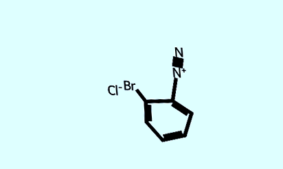 N#[N+]c1ccccc1Br.[Cl-]